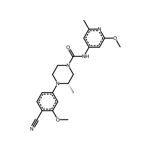 COc1cc(NC(=O)N2CCN(c3ccc(C#N)c(OC)c3)[C@@H](C)C2)cc(C)n1